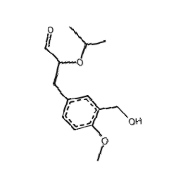 COc1ccc(CC(C=O)OC(C)C)cc1CO